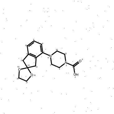 O=C(O)N1CCN(c2cccc3c2CC2(C3)OCCO2)CC1